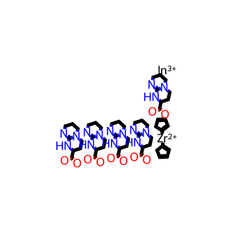 C1=CC[C]([Zr+2][C]2=CC=CC2)=C1.O=C([O-])C1CCN2CCCN=C2N1.O=C([O-])C1CCN2CCCN=C2N1.O=C([O-])C1CCN2CCCN=C2N1.O=C([O-])C1CCN2CCCN=C2N1.O=C([O-])C1CCN2CCCN=C2N1.[In+3]